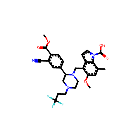 COC(=O)c1ccc(C2CN(CCC(F)(F)F)CCN2Cc2c(OC)cc(C)c3c2ccn3C(=O)O)cc1C#N